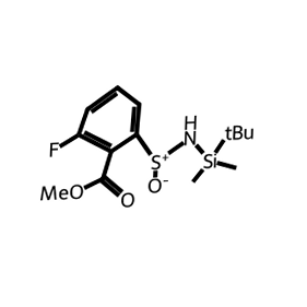 COC(=O)c1c(F)cccc1[S+]([O-])N[Si](C)(C)C(C)(C)C